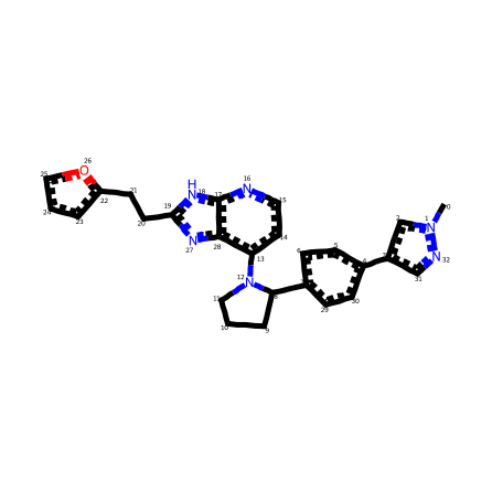 Cn1cc(-c2ccc(C3CCCN3c3ccnc4[nH]c(CCc5ccco5)nc34)cc2)cn1